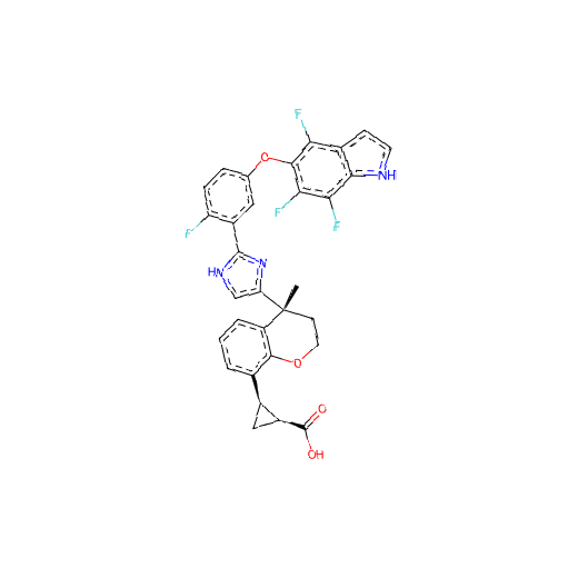 C[C@@]1(c2c[nH]c(-c3cc(Oc4c(F)c(F)c5[nH]ccc5c4F)ccc3F)n2)CCOc2c([C@@H]3C[C@@H]3C(=O)O)cccc21